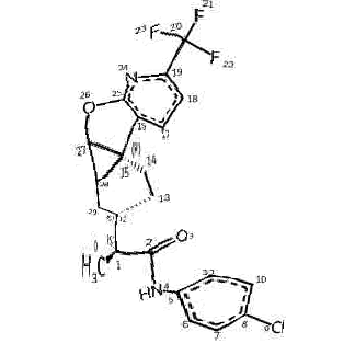 C[C@H](C(=O)Nc1ccc(Cl)cc1)[C@H]1CC[C@@]23c4ccc(C(F)(F)F)nc4OC2C3C1